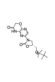 CC(C)(C)[Si](C)(C)OC[C@H]1CN(c2cnc3c(n2)NC(=O)CO3)C(=O)O1